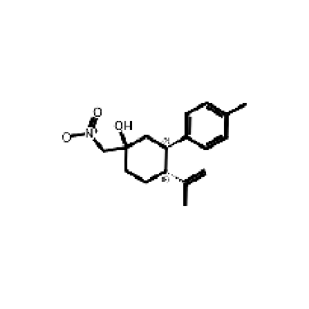 C=C(C)[C@@H]1CCC(O)(C[N+](=O)[O-])C[C@H]1c1ccc(C)cc1